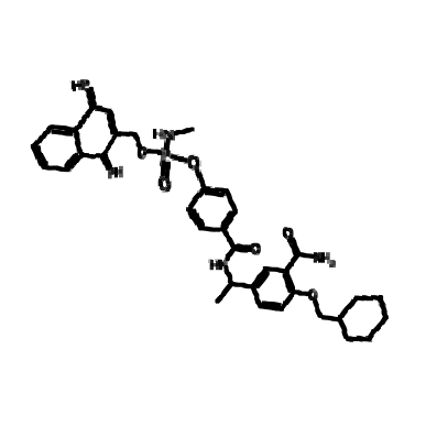 CNP(=O)(OCC1=CC(=P)c2ccccc2C1=P)Oc1ccc(C(=O)NC(C)c2ccc(OCC3CCCCC3)c(C(N)=O)c2)cc1